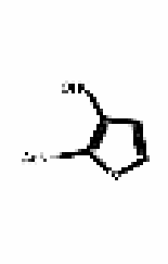 CC(=O)Nc1sccc1C=O